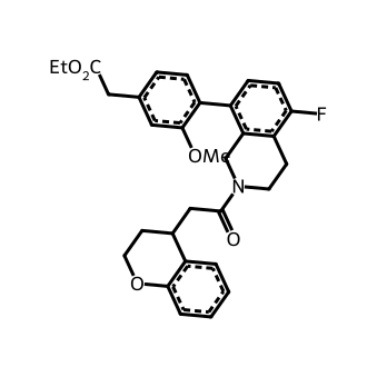 CCOC(=O)Cc1ccc(-c2ccc(F)c3c2CN(C(=O)CC2CCOc4ccccc42)CC3)c(OC)c1